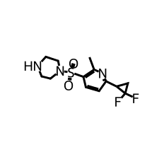 Cc1nc(C2CC2(F)F)ccc1S(=O)(=O)N1CCNCC1